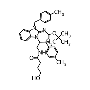 Cc1ccc(CC(CNC(=O)CCCO)n2c(=NC(=O)OC(C)(C)C)n(Cc3ccc(C)cc3)c3ccccc32)cc1